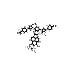 Cc1ccc(-c2cc(C)c(-c3ccc(-c4sc(-c5ccc(C(F)(F)F)cc5)cc4C)c4nc5c(nc34)-c3ccc4c6c(ccc-5c36)C(=O)N(CC(C)C)C4=O)s2)cc1